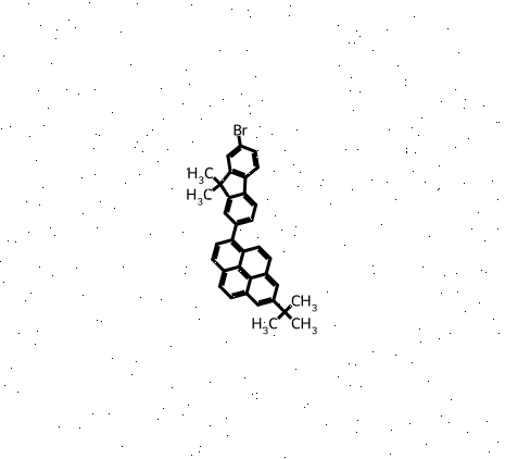 CC(C)(C)c1cc2ccc3ccc(-c4ccc5c(c4)C(C)(C)c4cc(Br)ccc4-5)c4ccc(c1)c2c34